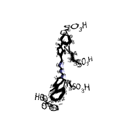 CC12CCC(/C=C/C=C/C=C3\CCC4(C)C3=[N+](CCS(=O)(=O)O)c3ccc([S+]([O-])C(=O)OO)cc34)=C1N(CCS(=O)(=O)O)c1ccc(OCS(=O)(=O)O)cc12